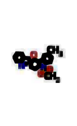 Cc1ccc2c(c1)c1c(n2S(C)(=O)=O)CC[C@](C#N)(Cc2ccccc2)C1=O